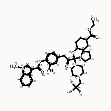 CCOC(=O)C1CCC(OC(C(=O)Cc2ccc(NC(=O)c3cn(C)c4ccccc34)c(C)c2)(N2CCCC2)N2CCN(CC(F)(F)F)CC2)CC1